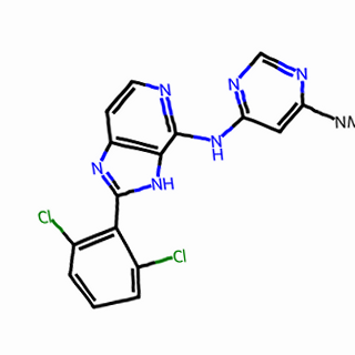 CNc1cc(Nc2nccc3nc(-c4c(Cl)cccc4Cl)[nH]c23)ncn1